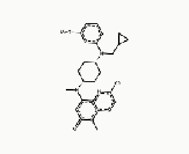 COc1cccc(N(CC2CC2)[C@H]2CC[C@@H](N(C)c3cc(=O)n(C)c4ccc(C#N)nc34)CC2)c1